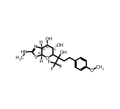 CNC1=N[C@@H]2[C@@H](O)[C@H](O)C(C(O)(CCc3ccc(OC)cc3)C(F)(F)F)O[C@@H]2S1